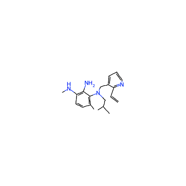 C=Cc1ncccc1CN(CC(C)C)c1c(C)ccc(NC)c1N